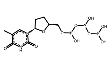 Cc1cn([C@H]2CC[C@@H](COP(O)OP(O)OP(O)O)O2)c(=O)[nH]c1=O